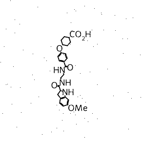 COc1ccc2c(c1)NC(C(=O)NCCNC(=O)c1ccc(O[C@H]3CC[C@@H](C(=O)O)CC3)cc1)C2